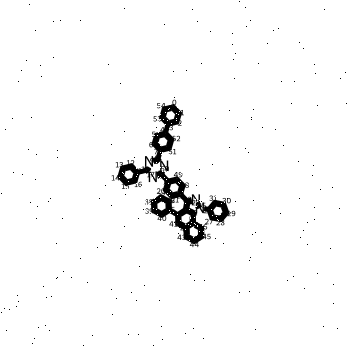 c1ccc(-c2ccc(-c3nc(-c4ccccc4)nc(-c4ccc(-c5nn(-c6ccccc6)c6c5c(-c5ccccc5)cc5ccccc56)cc4)n3)cc2)cc1